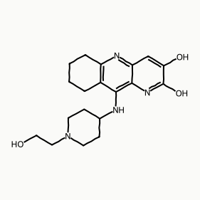 OCCN1CCC(Nc2c3c(nc4cc(O)c(O)nc24)CCCC3)CC1